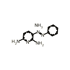 N.Nc1ccc(N=Nc2ccccc2)c(N)n1